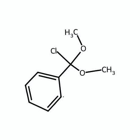 COC(Cl)(OC)c1[c]cccc1